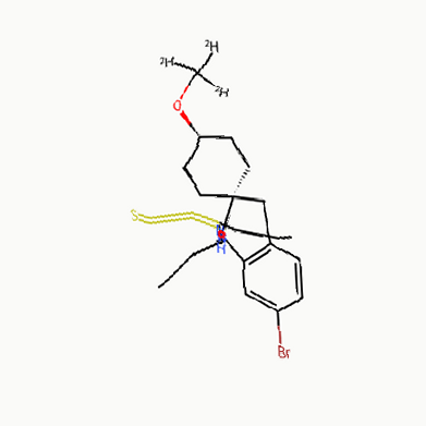 [2H]C([2H])([2H])O[C@H]1CC[C@]2(CC1)Cc1ccc(Br)cc1C21N=C(C)C(=S)N1